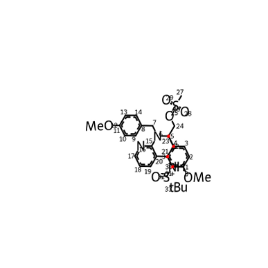 COc1ccc(CN(Cc2ccc(OC)cc2)c2ncccc2[C@@H](CCCOS(C)(=O)=O)N[S@@+]([O-])C(C)(C)C)cc1